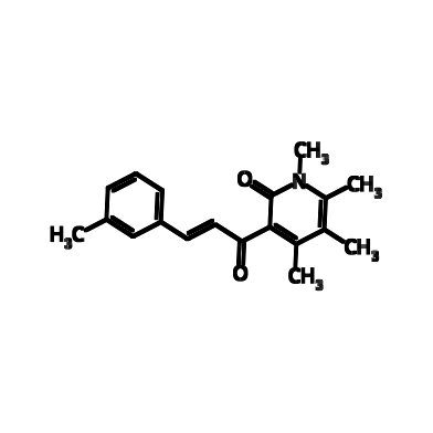 Cc1cccc(/C=C/C(=O)c2c(C)c(C)c(C)n(C)c2=O)c1